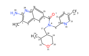 Cc1cc2cc(C(=O)N(Cc3ccc(C(F)(F)F)cn3)CC3CCOCC3C)ccc2nc1N